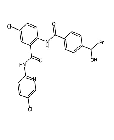 CC(C)C(O)c1ccc(C(=O)Nc2ccc(Cl)cc2C(=O)Nc2ccc(Cl)cn2)cc1